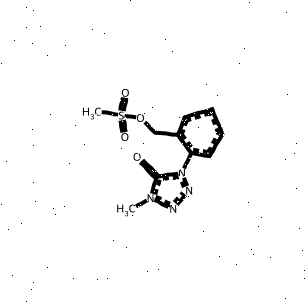 Cn1nnn(-c2ccccc2COS(C)(=O)=O)c1=O